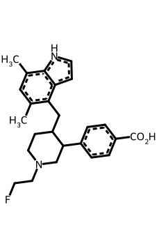 Cc1cc(C)c2[nH]ccc2c1CC1CCN(CCF)CC1c1ccc(C(=O)O)cc1